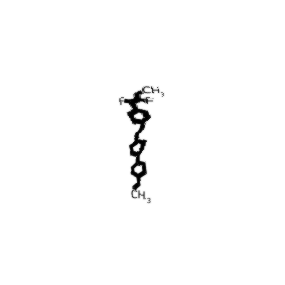 CCCC1CCC(c2ccc(CCc3ccc(/C(F)=C(\F)CC)cc3)cc2)CC1